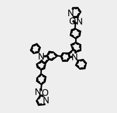 c1ccc(-n2c3ccc(-c4ccc(-c5nc6cccnc6o5)cc4)cc3c3cc(-c4ccc5c(c4)c4cc(-c6ccc(-c7nc8cccnc8o7)cc6)ccc4n5-c4ccccc4)ccc32)cc1